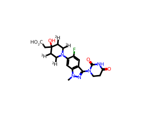 [2H]C1C([2H])C(O)(CC(=O)O)C([2H])C([2H])N1c1cc2c(cc1F)c(N1CCC(=O)NC1=O)nn2C